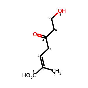 CC(=CCC(=O)CCO)C(=O)O